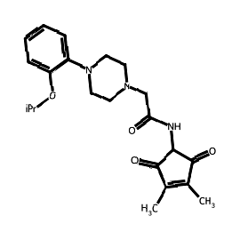 CC1=C(C)C(=O)C(NC(=O)CN2CCN(c3ccccc3OC(C)C)CC2)C1=O